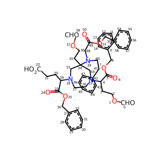 O=COCCC(C(=O)OCc1ccccc1)N1CCN(C(CCC(=O)O)C(=O)OCc2ccccc2)CC(CCOC=O)(N(CCc2ccccc2)CC(=O)OCc2ccccc2)C1